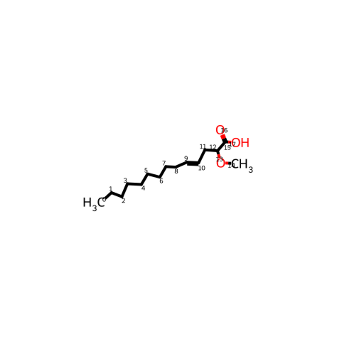 CCCCCCCCCC=CCC(OC)C(=O)O